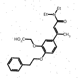 CCN(CC)C(=O)C=C(C)c1ccc(OCCc2ccccc2)c(OCC(=O)O)c1